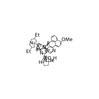 CCC1CN2CC(CC)CC2(COc2nc(N3C[C@H]4CC[C@@H](C3)N4C(=O)O)c3cnc(-c4ccc(OC)c5cccc(C#C[Si](C(C)C)(C(C)C)C(C)C)c45)c(F)c3n2)C1